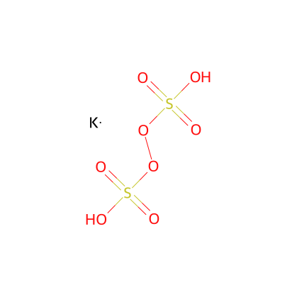 O=S(=O)(O)OOS(=O)(=O)O.[K]